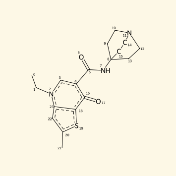 CCn1cc(C(=O)NC23CCN(CC2)CC3)c(=O)c2sc(C)cc21